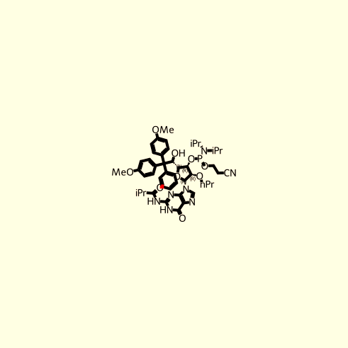 CCCO[C@@H]1[C@H](OP(OCCC#N)N(C(C)C)C(C)C)[C@@H](C(O)C(c2ccccc2)(c2ccc(OC)cc2)c2ccc(OC)cc2)O[C@H]1n1cnc2c(=O)[nH]c(NC(=O)C(C)C)nc21